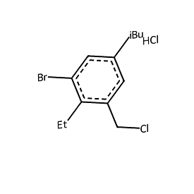 CCc1c(Br)cc(C(C)CC)cc1CCl.Cl